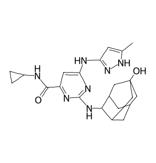 Cc1cc(Nc2cc(C(=O)NC3CC3)nc(NC3C4CC5CC3CC(O)(C5)C4)n2)n[nH]1